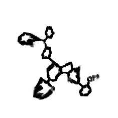 Oc1ccccc1-c1ccc2c(n1)-c1cc(-c3ccccn3)cc(-c3ccc(P(c4ccccc4)c4ccccc4)cc3)c1CC2